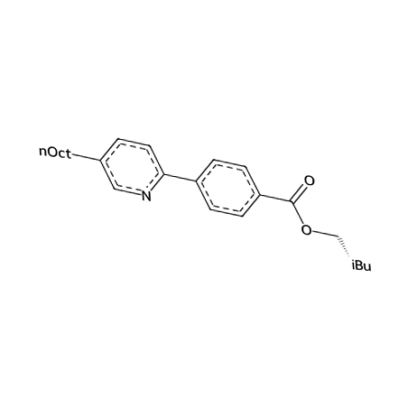 CCCCCCCCc1ccc(-c2ccc(C(=O)OC[C@@H](C)CC)cc2)nc1